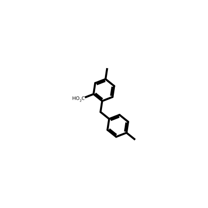 Cc1ccc(Cc2ccc(C)cc2C(=O)O)cc1